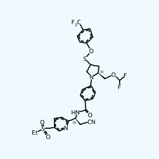 CCS(=O)(=O)c1ccc([C@H](CC#N)NC(=O)c2ccc(N3CC(SOc4ccc(C(F)(F)F)cc4)C[C@H]3COC(F)F)cc2)nc1